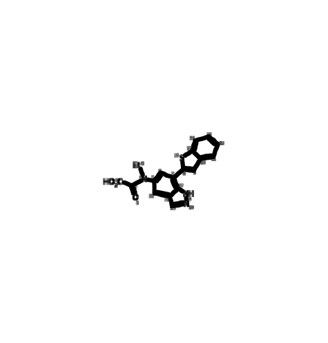 CCN(C(=O)C(=O)O)c1cc(-c2cc3ccccc3s2)c2[nH]ncc2c1